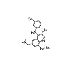 CC(=O)Nc1cc(CN(C)C)cc2c(Nc3cccc(Br)c3)c(C#N)cnc12